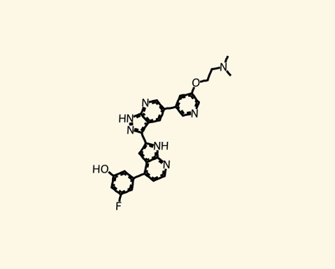 CN(C)CCOc1cncc(-c2cnc3[nH]nc(-c4cc5c(-c6cc(O)cc(F)c6)ccnc5[nH]4)c3c2)c1